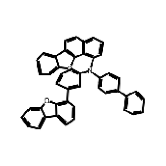 c1ccc(-c2ccc(N(c3cccc(-c4cccc5c4oc4ccccc45)c3)c3cccc4ccc5c6ccccc6oc5c34)cc2)cc1